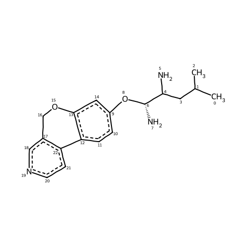 CC(C)CC(N)[C@H](N)Oc1ccc2c(c1)OCc1cnccc1-2